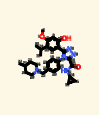 COc1cc(O)c(-c2nnc(C(=O)NC3CC3)n2-c2ccc(CN3CCC(C)CC3)cc2)cc1C(C)C